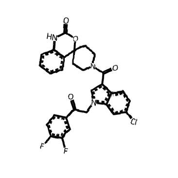 O=C1Nc2ccccc2C2(CCN(C(=O)c3cn(CC(=O)c4ccc(F)c(F)c4)c4cc(Cl)ccc34)CC2)O1